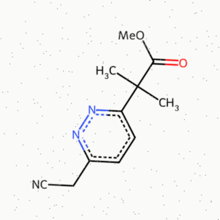 COC(=O)C(C)(C)c1ccc(CC#N)nn1